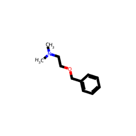 CN(C)CCOCc1[c]cccc1